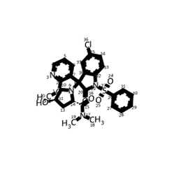 COc1ncccc1C1(N2C[C@H](O)C[C@H]2C(=O)N(C)C)C(=O)N(S(=O)(=O)c2ccccc2)c2ccc(Cl)cc21